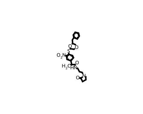 C=C(C(=O)NCCCN1CCCC1=O)c1ccc(SC2COCC(Cc3ccccc3)O2)c([N+](=O)[O-])c1